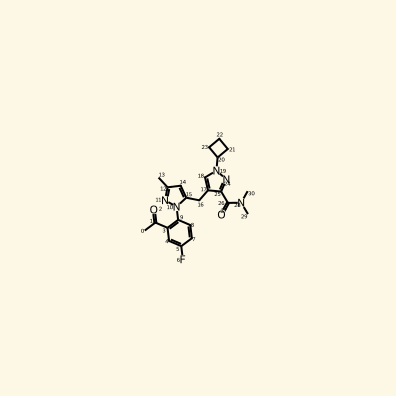 CC(=O)c1cc(F)ccc1-n1nc(C)cc1Cc1cn(C2CCC2)nc1C(=O)N(C)C